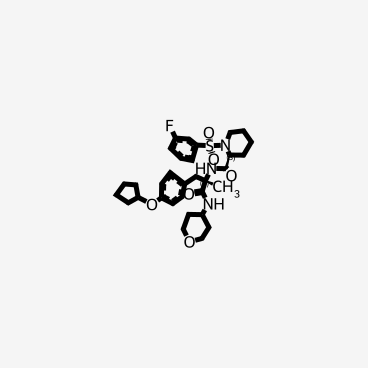 C[C@@](Cc1ccc(OC2CCCC2)cc1)(NC(=O)[C@@H]1CCCCN1S(=O)(=O)c1cccc(F)c1)C(=O)NC1CCOCC1